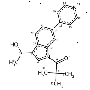 CC(O)c1cn(C(=O)C(C)(C)C)c2cc(-c3ccncc3)ccc12